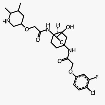 CC1CC(OCC(=O)NC23CCC(NC(=O)COc4ccc(Cl)c(F)c4)(CC2)C[C@@H]3O)CNC1C